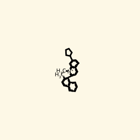 Cc1ccc2ccccc2c1-c1ccc2ccc(C3CCCC3)cc2[n+]1C